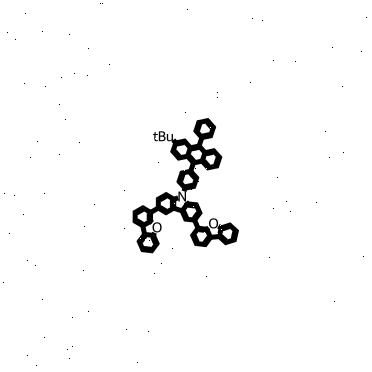 CC(C)(C)c1ccc2c(-c3ccc(-n4c5ccc(-c6cccc7c6oc6ccccc67)cc5c5cc(-c6cccc7c6oc6ccccc67)ccc54)cc3)c3ccccc3c(-c3ccccc3)c2c1